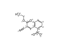 CCOC(=O)C(C#N)=Cc1ccccc1[N+](=O)[O-]